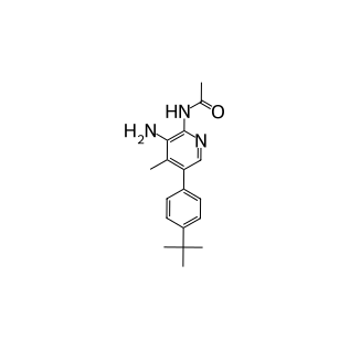 CC(=O)Nc1ncc(-c2ccc(C(C)(C)C)cc2)c(C)c1N